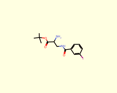 CC(C)(C)OC(=O)C(N)CNC(=O)c1cccc(I)c1